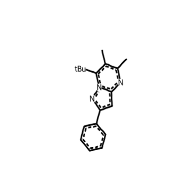 Cc1nc2cc(-c3ccccc3)nn2c(C(C)(C)C)c1C